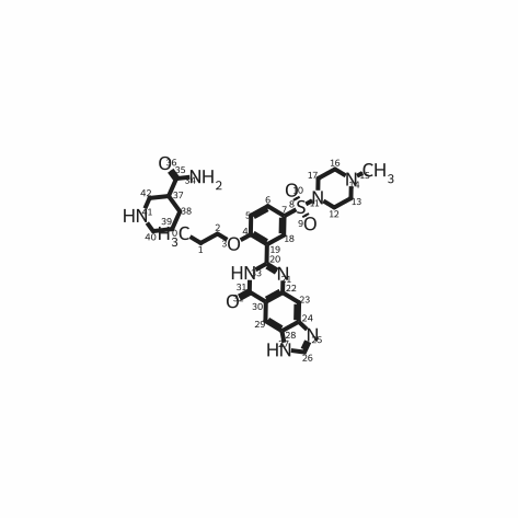 CCCOc1ccc(S(=O)(=O)N2CCN(C)CC2)cc1-c1nc2cc3nc[nH]c3cc2c(=O)[nH]1.NC(=O)C1CCCNC1